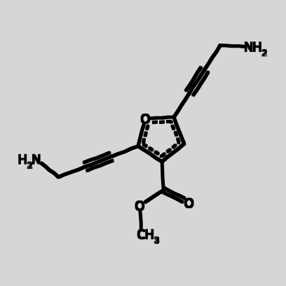 COC(=O)c1cc(C#CCN)oc1C#CCN